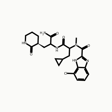 CN(C(=O)c1nc2cccc(Cl)c2[nH]1)C(CC1CC1)C(=O)NC(C[C@@H]1CCCNC1=O)C(N)=O